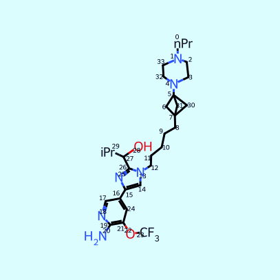 CCCN1CCN(C23CC(CCCCCn4cc(-c5cnc(N)c(OC(F)(F)F)c5)nc4C(O)C(C)C)(C2)C3)CC1